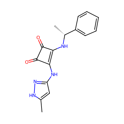 Cc1cc(Nc2c(N[C@H](C)c3ccccc3)c(=O)c2=O)n[nH]1